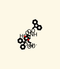 O=C(N[C@@H](CCC(C[N+](=O)[O-])SC(c1ccccc1)(c1ccccc1)c1ccccc1)C(=O)O)OCC1c2ccccc2-c2ccccc21